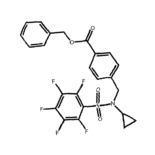 O=C(OCc1ccccc1)c1ccc(CN(C2CC2)S(=O)(=O)c2c(F)c(F)c(F)c(F)c2F)cc1